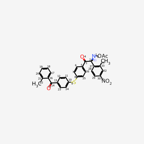 CC(=O)O/N=C(/C(=O)c1ccc(Sc2ccc(C(=O)c3ccccc3C)cc2)cc1)c1ccc([N+](=O)[O-])cc1C